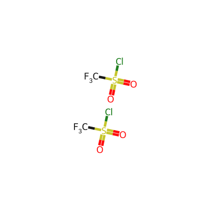 O=S(=O)(Cl)C(F)(F)F.O=S(=O)(Cl)C(F)(F)F